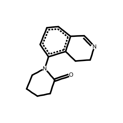 O=C1CCCCN1c1cccc2c1CCN=C2